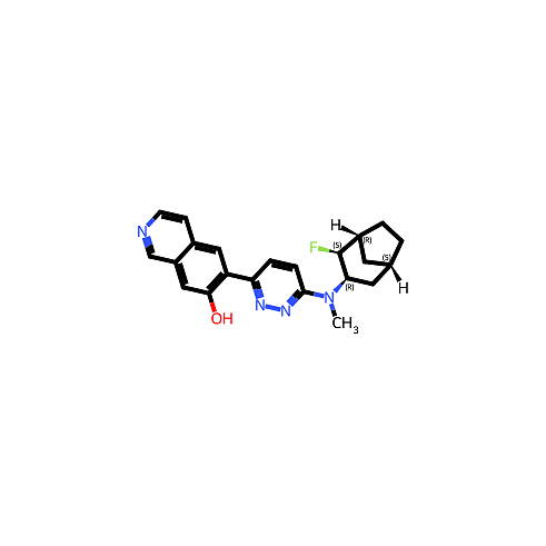 CN(c1ccc(-c2cc3ccncc3cc2O)nn1)[C@@H]1C[C@H]2CC[C@H](C2)[C@@H]1F